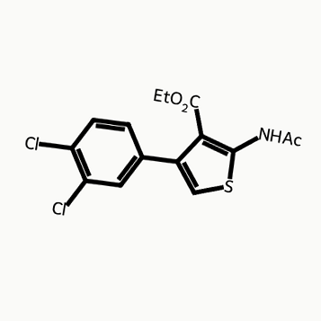 CCOC(=O)c1c(-c2ccc(Cl)c(Cl)c2)csc1NC(C)=O